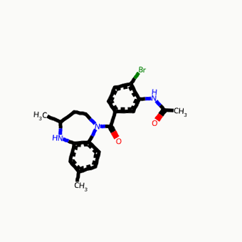 CC(=O)Nc1cc(C(=O)N2CCC(C)Nc3cc(C)ccc32)ccc1Br